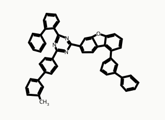 Cc1cccc(-c2ccc(-c3nc(-c4ccc5c(c4)oc4cccc(-c6cccc(-c7ccccc7)c6)c45)nc(-c4ccccc4-c4ccccc4)n3)cc2)c1